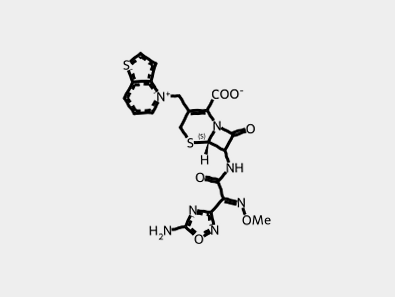 CON=C(C(=O)NC1C(=O)N2C(C(=O)[O-])=C(C[n+]3cccc4sccc43)CS[C@@H]12)c1noc(N)n1